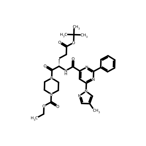 CCOC(=O)N1CCN(C(=O)[C@H](CCC(=O)OC(C)(C)C)NC(=O)c2cc(-n3cc(C)cn3)nc(-c3ccccc3)n2)CC1